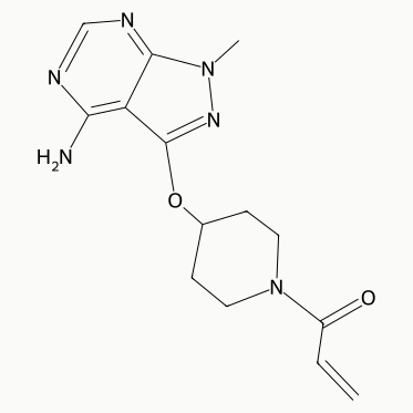 C=CC(=O)N1CCC(Oc2nn(C)c3ncnc(N)c23)CC1